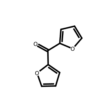 O=C(c1ccco1)c1ccco1